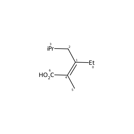 CCC(CC(C)C)=C(C)C(=O)O